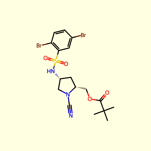 CC(C)(C)C(=O)OC[C@H]1C[C@@H](NS(=O)(=O)c2cc(Br)ccc2Br)CN1C#N